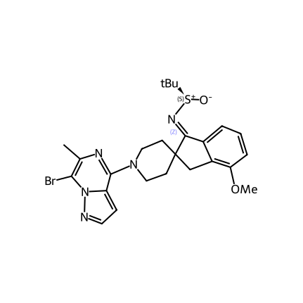 COc1cccc2c1CC1(CCN(c3nc(C)c(Br)n4nccc34)CC1)/C2=N/[S@+]([O-])C(C)(C)C